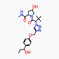 CCC(O)c1ccc(OCc2cn(C(C(=O)N3CC(O)CC3C(=O)NC)C(C)(C)C)nn2)cc1